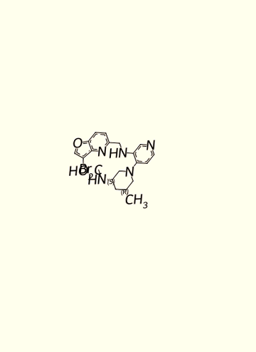 C[C@@H]1C[C@H](NC(=O)O)CN(c2ccncc2NCc2ccc3occ(Br)c3n2)C1